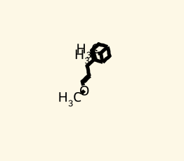 COC=CCC1=CCC2CC1C2(C)C